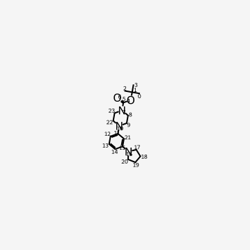 CC(C)(C)OC(=O)N1CCN(c2cccc(N3CCCC3)c2)CC1